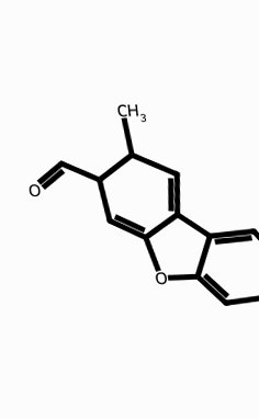 CC1C=c2c(oc3ccccc23)=CC1C=O